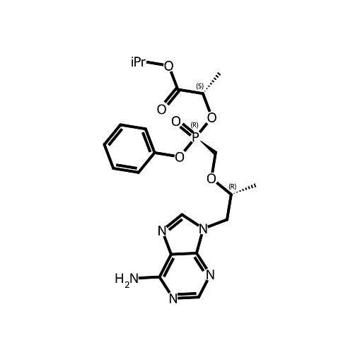 CC(C)OC(=O)[C@H](C)O[P@](=O)(CO[C@H](C)Cn1cnc2c(N)ncnc21)Oc1ccccc1